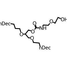 CCCCCCCCCCCCCOC(COCCCCCCCCCCCC)COC(=O)NCCOCCO